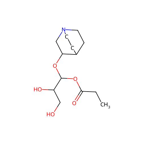 CCC(=O)OC(OC1CN2CCC1CC2)C(O)CO